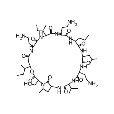 CCCC1NC(=O)C(CCN)NC(=O)[C@H]([C@H](C)CC)NC(=O)C(CCN)NC(=O)CC(C(C)CC)OC(=O)C(CO)N2C(=O)C(CC2C)NC(=O)C(C(C)C)NC(=O)C(CCN)NC(=O)C(CC(C)C)NC1=O